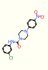 O=C(Nc1cccc(Cl)c1)N1CCN(c2ccc([N+](=O)[O-])cc2)CC1